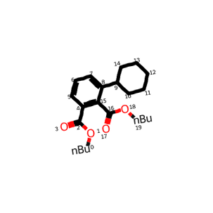 CCCCOC(=O)c1cccc(C2CCCCC2)c1C(=O)OCCCC